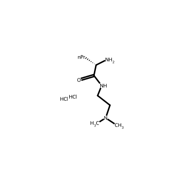 CCC[C@H](N)C(=O)NCCN(C)C.Cl.Cl